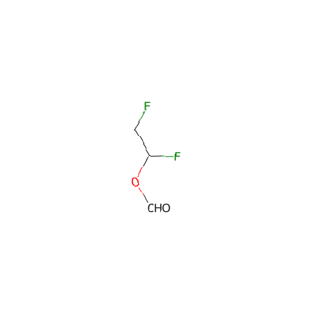 O=COC(F)CF